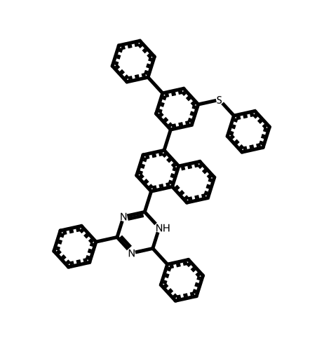 c1ccc(Sc2cc(-c3ccccc3)cc(-c3ccc(C4=NC(c5ccccc5)=NC(c5ccccc5)N4)c4ccccc34)c2)cc1